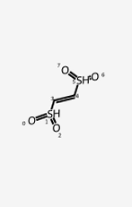 O=[SH](=O)/C=C/[SH](=O)=O